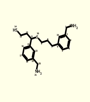 NCc1cccc(CCCSC(CCS)c2cccc(CN)c2)c1